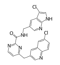 O=C(NCc1cnc2[nH]cc(Cl)c2c1)c1nccc(Cc2cnc3ccc(Cl)cc3c2)n1